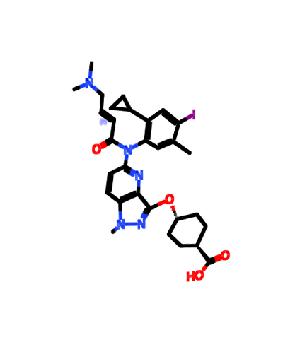 Cc1cc(N(C(=O)/C=C/CN(C)C)c2ccc3c(n2)c(O[C@H]2CC[C@H](C(=O)O)CC2)nn3C)c(C2CC2)cc1I